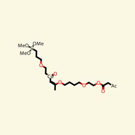 CO[Si](CCCOC[CH2][Co](=[O])[CH]=C(C)OCCCCOCCOC(=O)CC(C)=O)(OC)OC